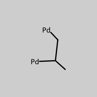 C[CH]([Pd])[CH2][Pd]